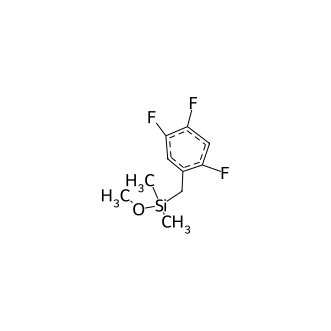 CO[Si](C)(C)Cc1cc(F)c(F)cc1F